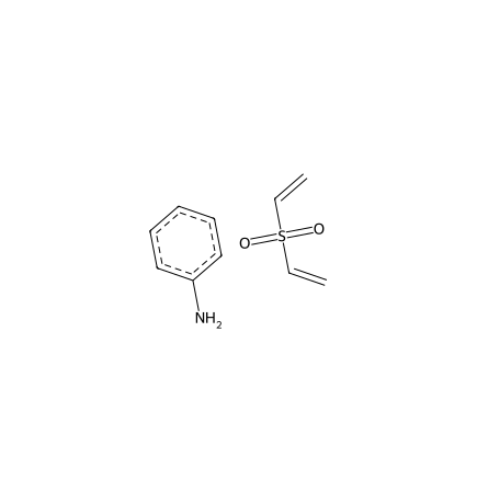 C=CS(=O)(=O)C=C.Nc1ccccc1